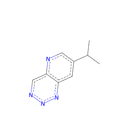 CC(C)c1cnc2cnnnc2c1